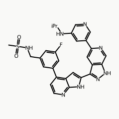 CC(C)Nc1cncc(-c2cc3c(-c4cc5c(-c6cc(F)cc(CNS(C)(=O)=O)c6)ccnc5[nH]4)n[nH]c3cn2)c1